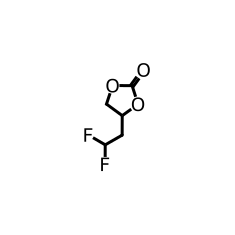 O=C1OCC(CC(F)F)O1